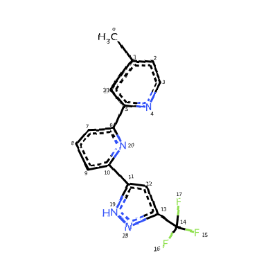 Cc1ccnc(-c2cccc(-c3cc(C(F)(F)F)n[nH]3)n2)c1